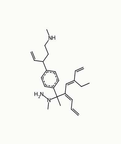 C=C/C=C(/C=C(/C=C)CC)C(C)(c1ccc(C(C=C)CCNC)cc1)N(C)N